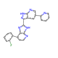 Fc1ccccc1-c1ccnc2[nH]c(-c3n[nH]c4ncc(-c5ccccn5)cc34)nc12